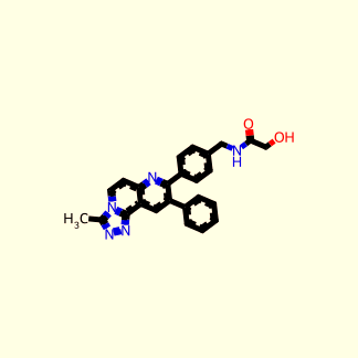 Cc1nnc2c3cc(-c4ccccc4)c(-c4ccc(CNC(=O)CO)cc4)nc3ccn12